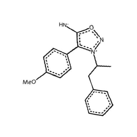 COc1ccc(-c2c([NH-])on[n+]2C(C)Cc2ccccc2)cc1